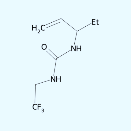 C=CC(CC)NC(=O)NCC(F)(F)F